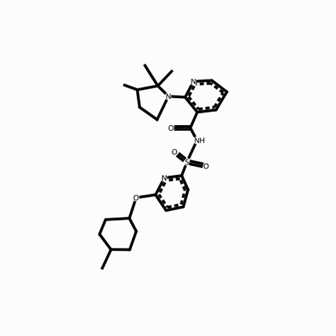 CC1CCC(Oc2cccc(S(=O)(=O)NC(=O)c3cccnc3N3CCC(C)C3(C)C)n2)CC1